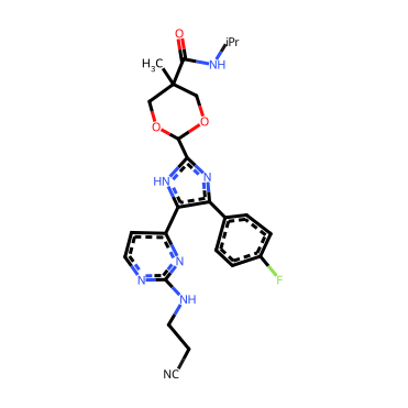 CC(C)NC(=O)C1(C)COC(c2nc(-c3ccc(F)cc3)c(-c3ccnc(NCCC#N)n3)[nH]2)OC1